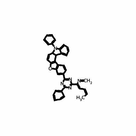 C=N/C(=C\C=C/C)c1nc(-c2ccccc2)nc(-c2ccc3c4c(oc3c2)C=CC2C4c3ccccc3N2c2ccccc2)n1